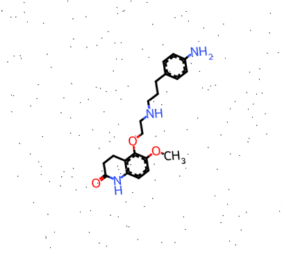 COc1ccc2c(c1OCCNCCCc1ccc(N)cc1)CCC(=O)N2